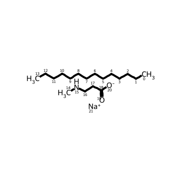 CCCCCCCCCCCCCC.CNCCC(=O)[O-].[Na+]